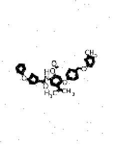 Cc1cccc(OCc2ccc(Oc3cc(OC=O)c(NC(=O)c4ccc(Oc5ccccc5)cc4)cc3C(C)C)cc2)c1